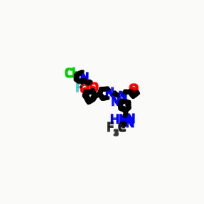 CC1(c2ncc(Cl)cc2F)Oc2cccc(C3CCN(Cc4nc5cc(-c6nnc(C(F)(F)F)[nH]6)ccc5n4CC4CCO4)CC3)c2O1